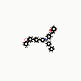 c1ccc(-c2ccc(N(c3ccc(-c4ccc(-c5ccc6oc7ccccc7c6c5)cc4)cc3)c3ccc(-c4cc5ccccc5o4)cc3)cc2)cc1